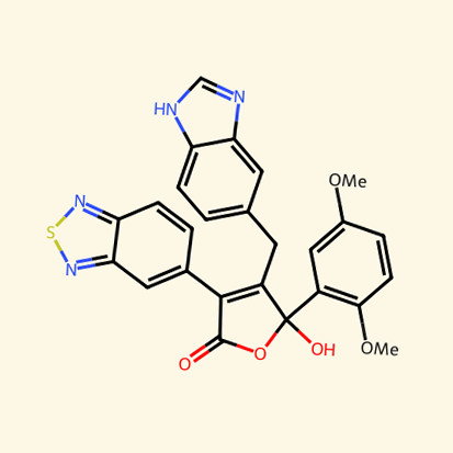 COc1ccc(OC)c(C2(O)OC(=O)C(c3ccc4nsnc4c3)=C2Cc2ccc3[nH]cnc3c2)c1